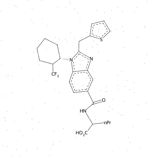 CCCC(NC(=O)c1ccc2c(c1)nc(Cc1cccs1)n2[C@H]1CCCCC1C(F)(F)F)C(=O)O